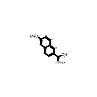 CCCCCCC(O)c1ccc2cc(OC)ccc2c1